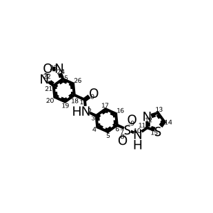 O=C(Nc1ccc(S(=O)(=O)Nc2nccs2)cc1)c1ccc2nonc2c1